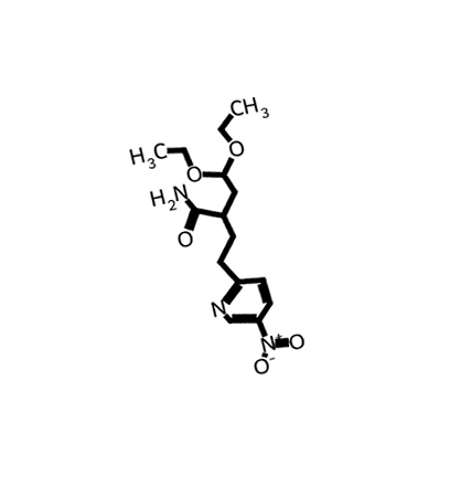 CCOC(CC(CCc1ccc([N+](=O)[O-])cn1)C(N)=O)OCC